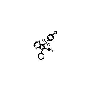 Nc1c(S(=O)(=O)c2ccc(Cl)cc2)c2nccnc2n1C1CCCCC1